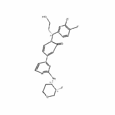 O=c1cc(-c2ccnc(N[C@H]3CCOC[C@H]3F)n2)ccn1[C@H](CCO)c1ccc(F)c(Cl)c1